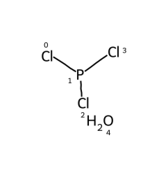 ClP(Cl)Cl.O